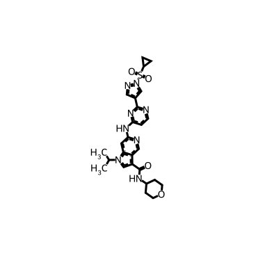 CC(C)n1cc(C(=O)NC2CCOCC2)c2cnc(Nc3ccnc(-c4cnn(S(=O)(=O)C5CC5)c4)n3)cc21